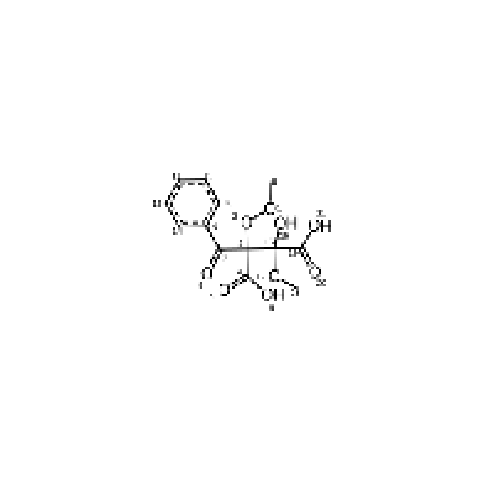 COOC(C(=O)O)(C(=O)c1ccccc1)C(O)(OC)C(=O)O